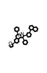 c1ccc(-c2c(-c3cccc(-c4cccc5ccccc45)c3)nn3c(-c4ccccc4)cc4cc(-c5ccco5)ccc4c23)cc1